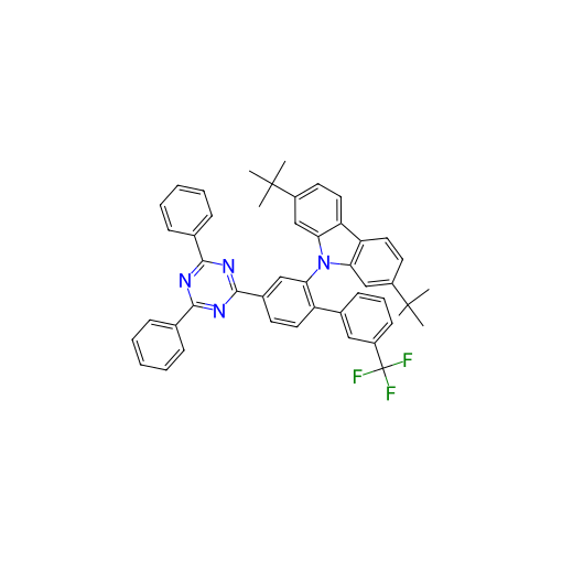 CC(C)(C)c1ccc2c3ccc(C(C)(C)C)cc3n(-c3cc(-c4nc(-c5ccccc5)nc(-c5ccccc5)n4)ccc3-c3cccc(C(F)(F)F)c3)c2c1